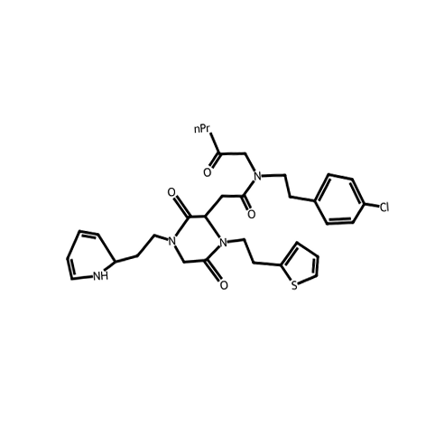 CCCC(=O)CN(CCc1ccc(Cl)cc1)C(=O)CC1C(=O)N(CCC2C=CC=CN2)CC(=O)N1CCc1cccs1